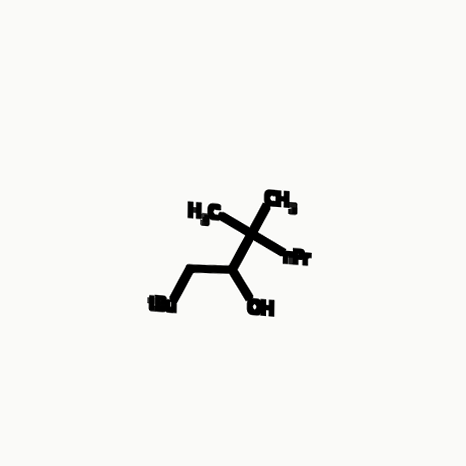 CCCC(C)(C)C(O)CC(C)(C)C